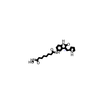 O=C(CCCCCCC(=O)Nc1ccc2c(c1)/C(=C/c1ccc[nH]1)C(=O)N2)NO